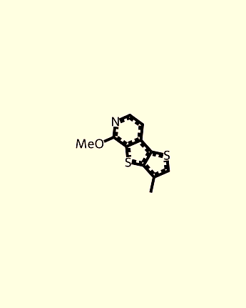 COc1nccc2c1sc1c(C)csc12